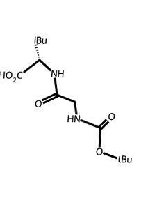 CCC(C)[C@H](NC(=O)CNC(=O)OC(C)(C)C)C(=O)O